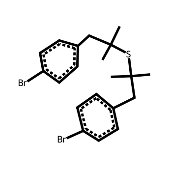 CC(C)(Cc1ccc(Br)cc1)SC(C)(C)Cc1ccc(Br)cc1